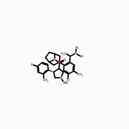 CC(=O)N(C(C)C)C(C)c1cc(C)c(Cl)cc1C1CC2CCC(C1)N2C(=O)C1CN(C(C)(C)C)C[C@H]1c1ccc(F)cc1C